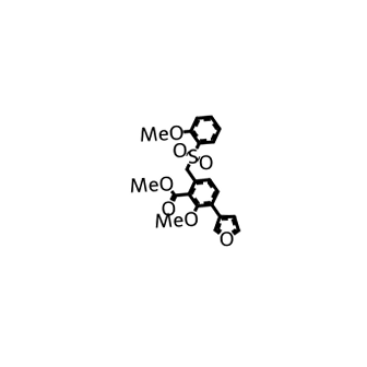 COC(=O)c1c(CS(=O)(=O)c2ccccc2OC)ccc(-c2ccoc2)c1OC